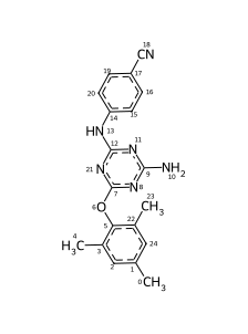 Cc1cc(C)c(Oc2nc(N)nc(Nc3ccc(C#N)cc3)n2)c(C)c1